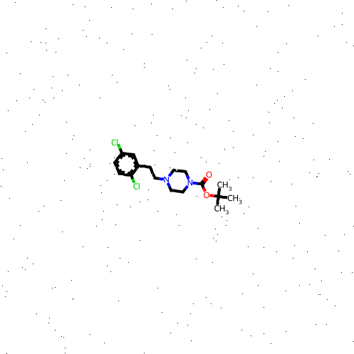 CC(C)(C)OC(=O)N1CCN(CCc2cc(Cl)ccc2Cl)CC1